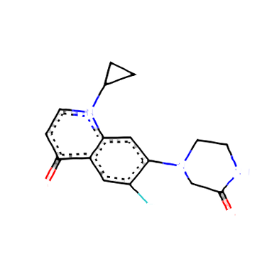 O=C1CN(c2cc3c(cc2F)c(=O)ccn3C2CC2)CCN1